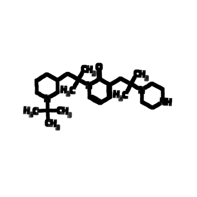 CC(C)(C)N1CCCC(CC(C)(C)n2cccc(CC(C)(C)N3CCNCC3)c2=O)C1